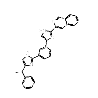 C[C@H](c1ccccc1)c1c[nH]c(-c2cccc(-c3c[nH]c(-c4cc5ccccc5cn4)n3)c2)n1